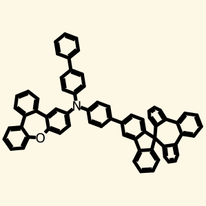 c1ccc(-c2ccc(N(c3ccc(-c4ccc5c(c4)-c4ccccc4C54c5ccccc5-c5ccccc5-c5ccccc54)cc3)c3ccc4c(c3)-c3ccccc3-c3ccccc3O4)cc2)cc1